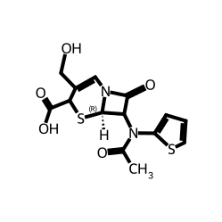 CC(=O)N(c1cccs1)C1C(=O)N2C=C(CO)C(C(=O)O)S[C@H]12